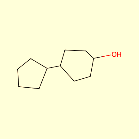 OC1CCC(C2CCCC2)CC1